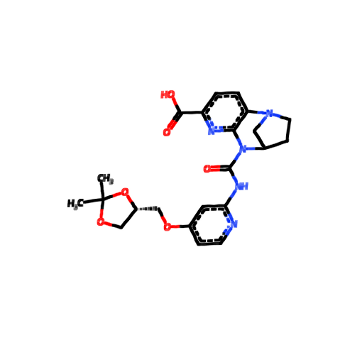 CC1(C)OC[C@@H](COc2ccnc(NC(=O)N3c4nc(C(=O)O)ccc4N4CCC3C4)c2)O1